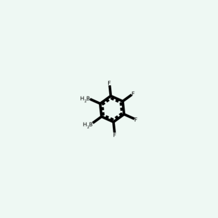 Bc1c(B)c(F)c(F)c(F)c1F